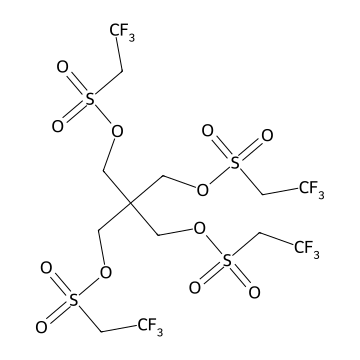 O=S(=O)(CC(F)(F)F)OCC(COS(=O)(=O)CC(F)(F)F)(COS(=O)(=O)CC(F)(F)F)COS(=O)(=O)CC(F)(F)F